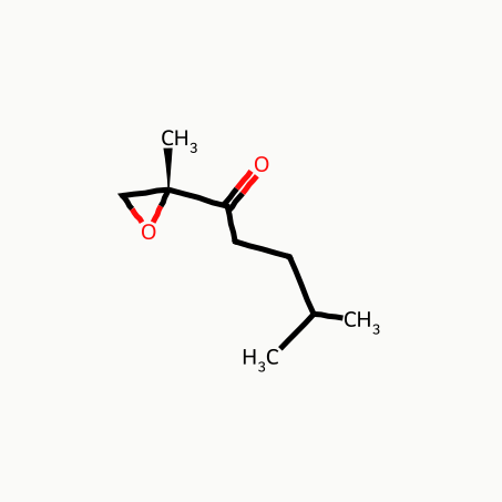 CC(C)CCC(=O)[C@@]1(C)CO1